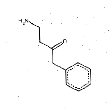 NCCC(=O)Cc1ccccc1